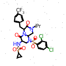 CC(C)N1CC2N(C(=O)C(NS(=O)(=O)C3CC3)CN2S(=O)(=O)c2ccc(Cl)cc2Cl)C(Cc2ccc(C(F)(F)F)cc2)C1=O